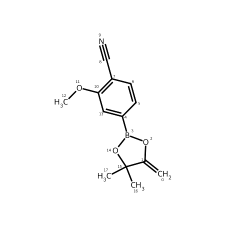 C=C1OB(c2ccc(C#N)c(OC)c2)OC1(C)C